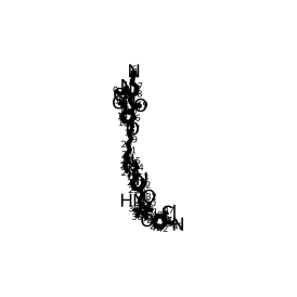 COc1nc(C#N)ccc1N1C(=O)c2ccc(OCCCCCN3CCN(c4ccc(C(=O)NC5C(C)(C)C(Oc6ccc(C#N)c(Cl)c6)C5(C)C)cn4)CC3)cc2C1=O